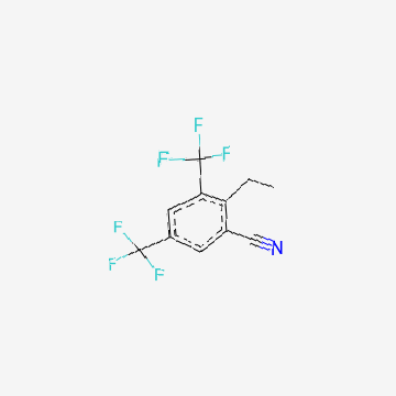 CCc1c(C#N)cc(C(F)(F)F)cc1C(F)(F)F